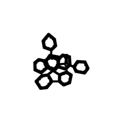 O=P(c1ccccc1)(c1ccccc1)c1cccc2c1C1(c3ccccc3-2)c2ccccc2N(c2ccccc2)c2ccccc21